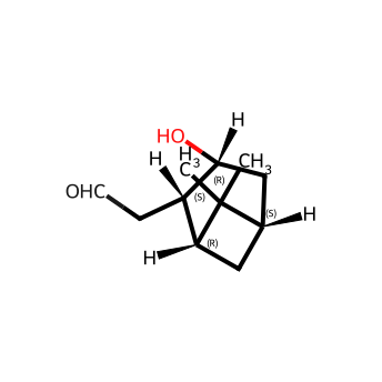 CC1(C)[C@@H]2C[C@@H](O)[C@@H](CC=O)[C@H]1C2